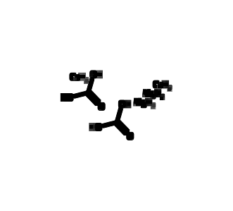 O=C(O)O.O=C(O)O.[CaH2].[CaH2].[MgH2].[MgH2]